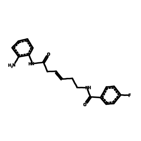 Nc1ccccc1NC(=O)CC=CCCNC(=O)c1ccc(F)cc1